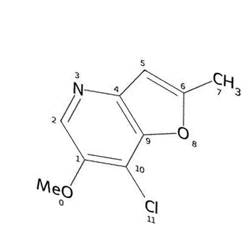 COc1cnc2cc(C)oc2c1Cl